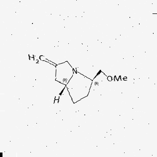 C=C1C[C@H]2CC[C@H](COC)N2C1